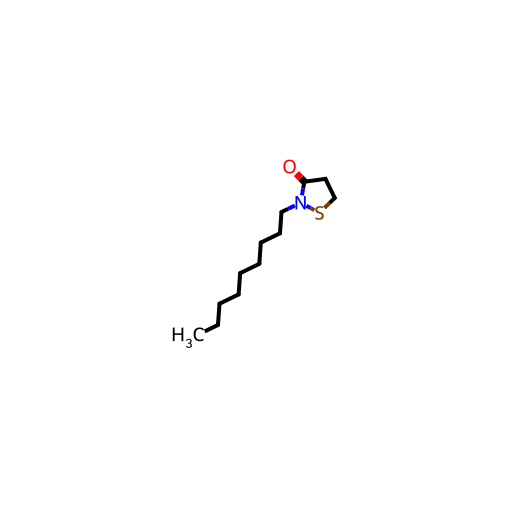 CCCCCCCCCN1SCCC1=O